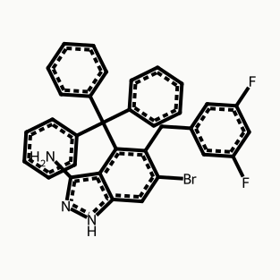 Nc1n[nH]c2cc(Br)c(Cc3cc(F)cc(F)c3)c(C(c3ccccc3)(c3ccccc3)c3ccccc3)c12